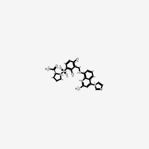 Cc1cc(-n2ccnc2)c2cccc(OCc3c(Cl)ccc(S(=O)(=O)N4CCC[C@H]4C(N)=O)c3Cl)c2n1